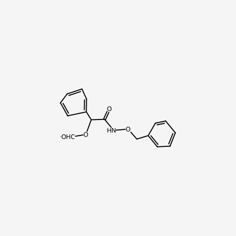 O=[C]OC(C(=O)NOCc1ccccc1)c1ccccc1